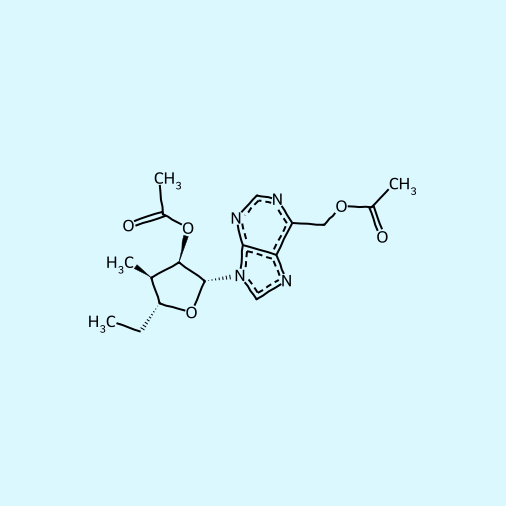 CC[C@H]1O[C@@H](n2cnc3c(COC(C)=O)ncnc32)[C@H](OC(C)=O)[C@@H]1C